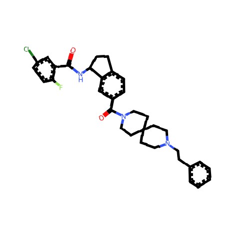 O=C(NC1CCc2ccc(C(=O)N3CCC4(CCN(CCc5ccccc5)CC4)CC3)cc21)c1cc(Cl)ccc1F